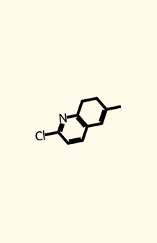 CC1=Cc2ccc(Cl)nc2CC1